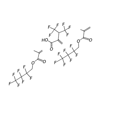 C=C(C(=O)O)C(C(F)(F)F)C(F)(F)F.C=C(C)C(=O)OCC(F)(F)C(F)(F)C(F)(F)F.C=C(C)C(=O)OCC(F)(F)C(F)(F)C(F)(F)F